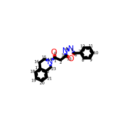 O=C(Cc1nnc(-c2ccccc2)o1)N1CCc2ccccc2C1